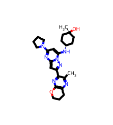 Cc1nc2c(nc1-c1cc3nc(N4CCCC4)cc(N[C@H]4CC[C@](C)(O)CC4)n3n1)OCCC2